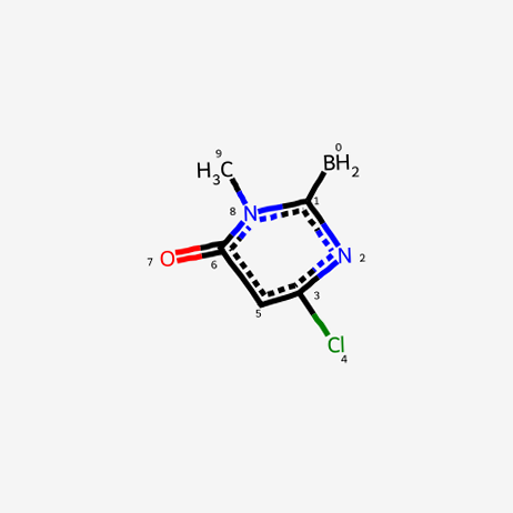 Bc1nc(Cl)cc(=O)n1C